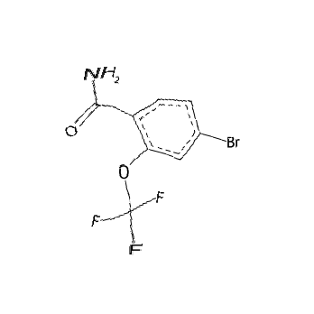 NC(=O)c1ccc(Br)cc1OC(F)(F)F